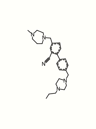 CCCN1CCN(Cc2ccc(-c3ccc(CN4CCCN(C)CC4)cc3C#N)cc2)CC1